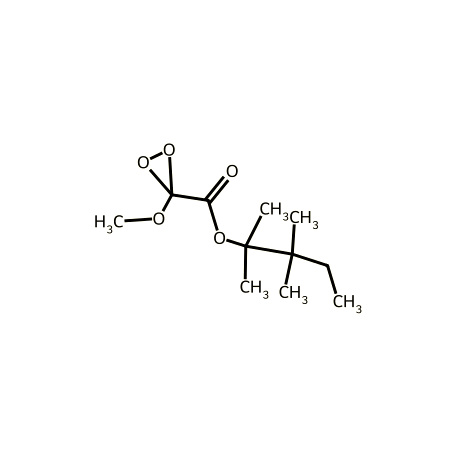 CCC(C)(C)C(C)(C)OC(=O)C1(OC)OO1